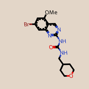 COc1cc(Br)cc2nc(NC(=O)NCC3CCOCC3)ncc12